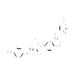 CCN(C(=O)NCc1ccc(F)cc1)c1ccc2c(c1)N(Cc1c[nH]cn1)CC2